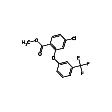 COC(=O)c1ccc(Cl)cc1Oc1cccc(C(F)(F)F)c1